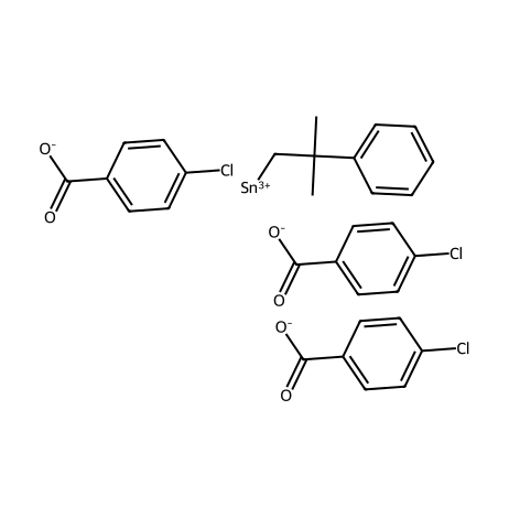 CC(C)([CH2][Sn+3])c1ccccc1.O=C([O-])c1ccc(Cl)cc1.O=C([O-])c1ccc(Cl)cc1.O=C([O-])c1ccc(Cl)cc1